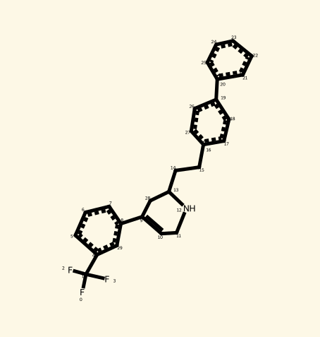 FC(F)(F)c1cccc(C2=CCNC(CCc3ccc(-c4ccccc4)cc3)C2)c1